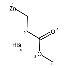 Br.COC(=O)C[CH2][Zn]